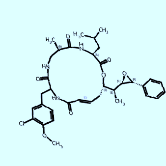 COc1ccc(CC2NC(=O)/C=C/C[C@@H]([C@H](C)[C@H]3O[C@@H]3c3ccccc3)OC(=O)[C@H](CC(C)C)NC(=O)[C@H](C)CNC2=O)cc1Cl